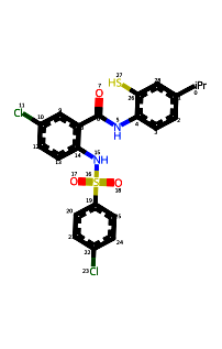 CC(C)c1ccc(NC(=O)c2cc(Cl)ccc2NS(=O)(=O)c2ccc(Cl)cc2)c(S)c1